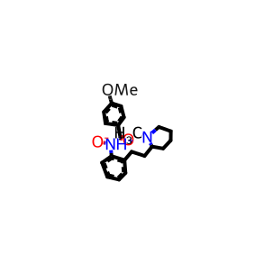 COc1ccc(C(=O)[NH+]([O-])c2ccccc2CCC2CCCCN2C)cc1